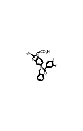 CCCc1nc2cc(N(Cc3ccccc3)C(=O)c3ccc(F)c(F)c3)ccc2n1CC(=O)O